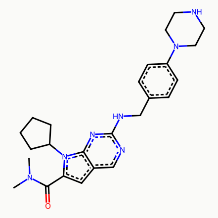 CN(C)C(=O)c1cc2cnc(NCc3ccc(N4CCNCC4)cc3)nc2n1C1CCCC1